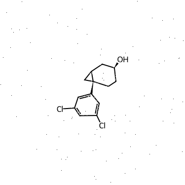 O[C@H]1CC[C@]2(c3cc(Cl)cc(Cl)c3)CC2C1